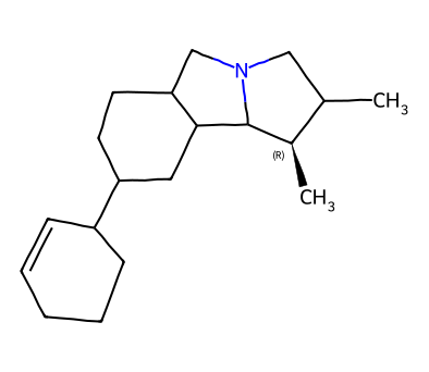 CC1CN2CC3CCC(C4C=CCCC4)CC3C2[C@@H]1C